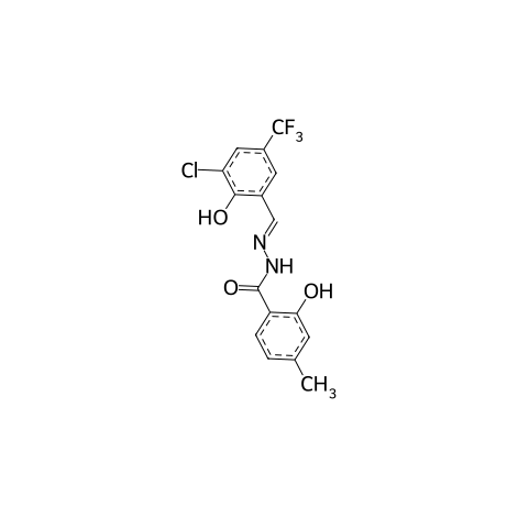 Cc1ccc(C(=O)N/N=C/c2cc(C(F)(F)F)cc(Cl)c2O)c(O)c1